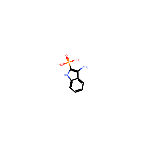 Nc1c(P(=O)(O)O)[nH]c2ccccc12